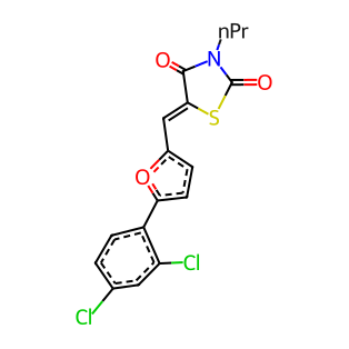 CCCN1C(=O)S/C(=C\c2ccc(-c3ccc(Cl)cc3Cl)o2)C1=O